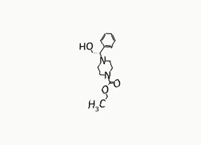 CCOC(=O)N1CCN([C@H](CO)c2ccccc2)CC1